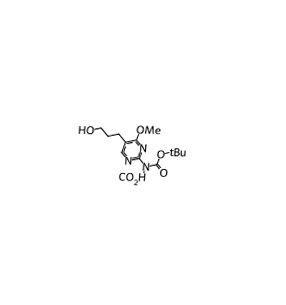 COc1nc(N(C(=O)O)C(=O)OC(C)(C)C)ncc1CCCO